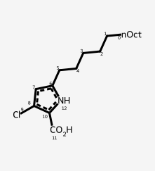 CCCCCCCCCCCCCc1cc(Cl)c(C(=O)O)[nH]1